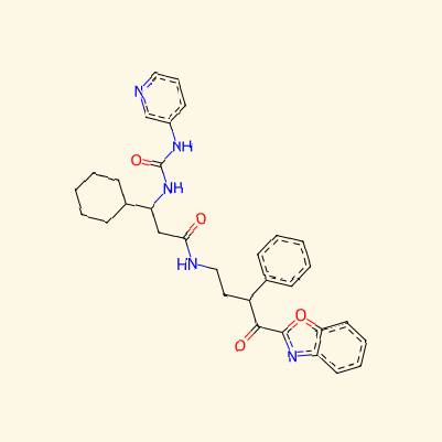 O=C(CC(NC(=O)Nc1cccnc1)C1CCCCC1)NCCC(C(=O)c1nc2ccccc2o1)c1ccccc1